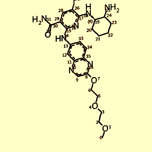 COCCOCCOc1cnc2cc(Nc3nc(N[C@@H]4CCCCC4N)c(F)cc3C(N)=O)ccc2n1